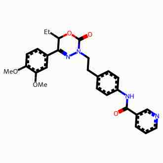 CCC1OC(=O)N(CCc2ccc(NC(=O)c3cccnc3)cc2)N=C1c1ccc(OC)c(OC)c1